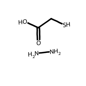 NN.O=C(O)CS